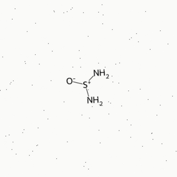 N[S+](N)[O-]